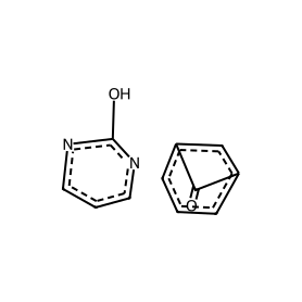 O=C1c2cccc1c2.Oc1ncccn1